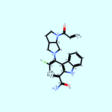 C=CC(=O)N1CCC2CN(/C(=C(/C)F)c3c(C(=C)C(N)=O)[nH]c4ccccc34)CC21